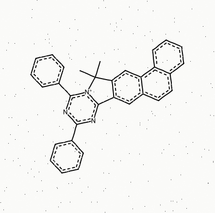 CC1(C)c2cc3c(ccc4ccccc43)cc2-c2nc(-c3ccccc3)nc(-c3ccccc3)[n+]21